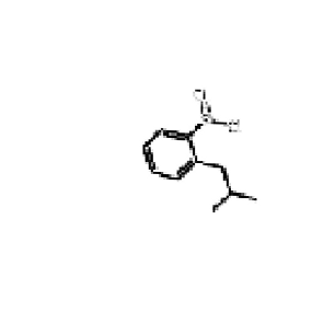 CC(C)Cc1ccccc1[SiH](Cl)Cl